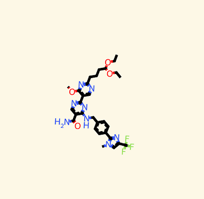 CCOC(CCCc1ncc(-c2ncc(C(N)=O)c(NCc3ccc(-c4nc(C(F)(F)F)cn4C)cc3)n2)c(OC)n1)OCC